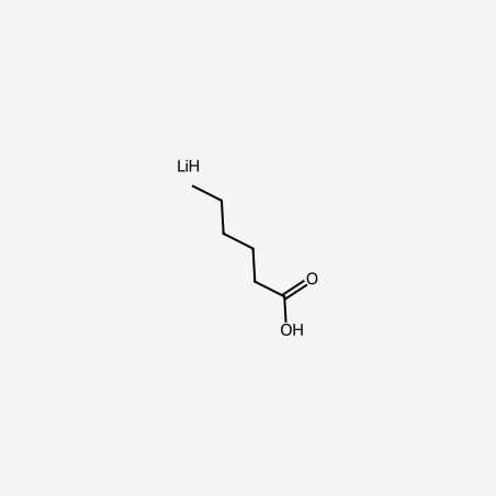 CCCCCC(=O)O.[LiH]